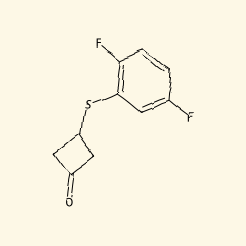 O=C1CC(Sc2cc(F)ccc2F)C1